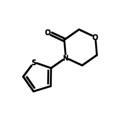 O=C1COCCN1c1cccs1